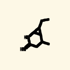 CCC1C2NC(=N)CC(C)C12